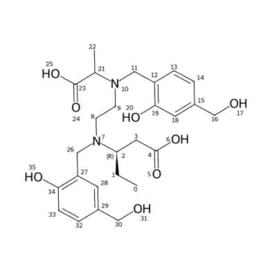 CC[C@H](CC(=O)O)N(CCN(Cc1ccc(CO)cc1O)C(C)C(=O)O)Cc1cc(CO)ccc1O